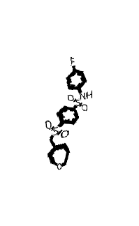 O=S(=O)(CC1=CCCOCC1)c1ccc(S(=O)(=O)Nc2ccc(F)cc2)cc1